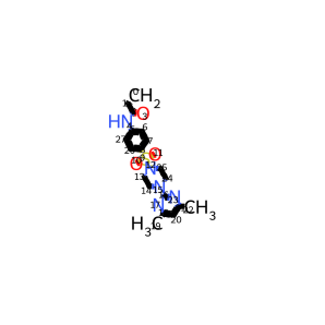 C=CC(=O)Nc1ccc(S(=O)(=O)N2CCN(c3nc(C)cc(C)n3)CC2)cc1